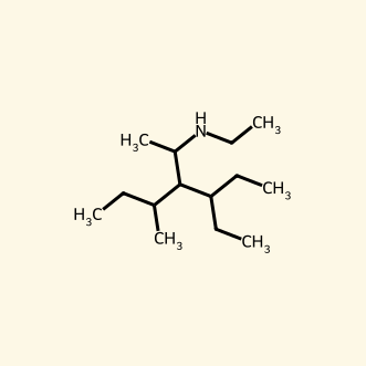 CCNC(C)C(C(C)CC)C(CC)CC